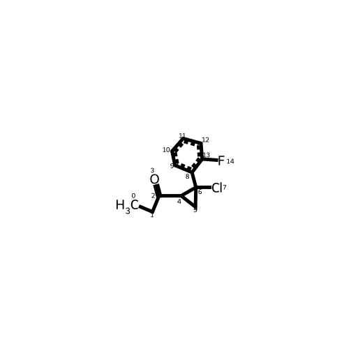 CCC(=O)C1CC1(Cl)c1ccccc1F